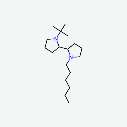 CCCCCCN1CCC[C]1C1CCCN1C(C)(C)C